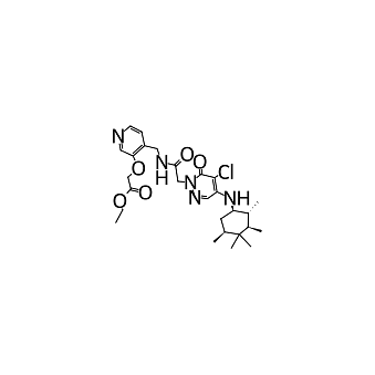 CCOC(=O)COc1cnccc1CNC(=O)Cn1ncc(N[C@@H]2C[C@H](C)C(C)(C)[C@H](C)[C@H]2C)c(Cl)c1=O